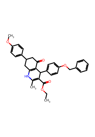 CCOC(=O)C1=C(C)NC2=C(C(=O)CC(c3ccc(OC)cc3)C2)C1c1ccc(OCc2ccccc2)cc1